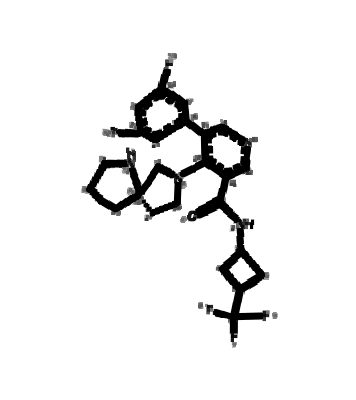 O=C(NC1CC(C(F)(F)F)C1)c1cncc(-c2cc(F)cc(F)c2)c1N1CC[C@@]2(CCCN2)C1